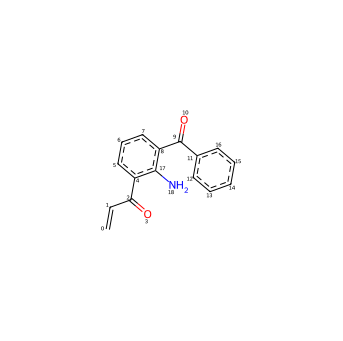 C=CC(=O)c1cccc(C(=O)c2ccccc2)c1N